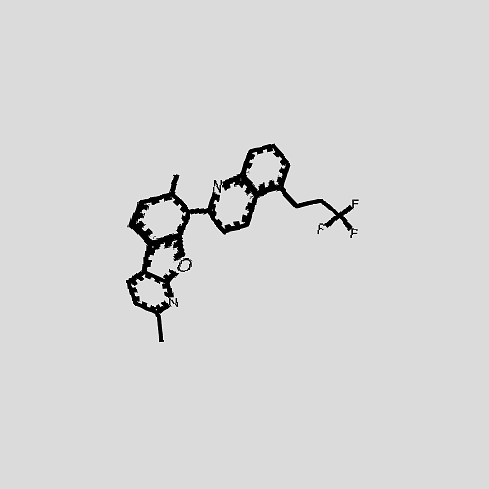 Cc1ccc2c(n1)oc1c(-c3ccc4c(CCC(F)(F)F)cccc4n3)c(C)ccc12